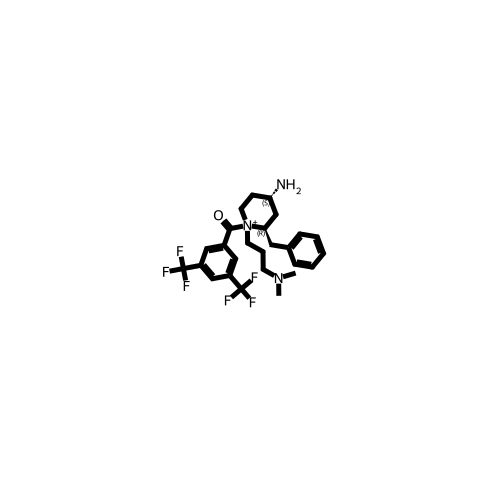 CN(C)CCC[N+]1(C(=O)c2cc(C(F)(F)F)cc(C(F)(F)F)c2)CC[C@H](N)C[C@H]1Cc1ccccc1